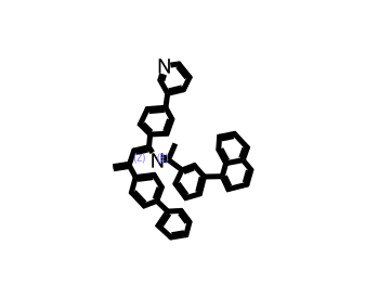 C=C(/C=C(\N=C(/C)c1cccc(-c2cccc3ccccc23)c1)c1ccc(-c2cccnc2)cc1)c1ccc(-c2ccccc2)cc1